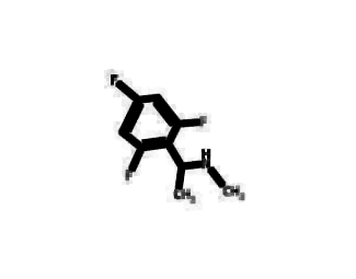 CNC(C)c1c(F)cc(F)cc1F